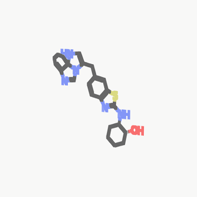 O[C@@H]1CCCC[C@H]1Nc1nc2ccc(CC3=CNC45CCCC=C4N=CN35)cc2s1